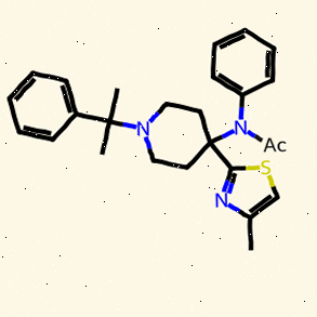 CC(=O)N(c1ccccc1)C1(c2nc(C)cs2)CCN(C(C)(C)c2ccccc2)CC1